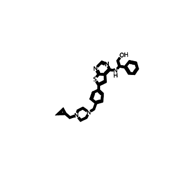 OCC(Nc1ncnc2sc(-c3ccc(CN4CCN(CC5CC5)CC4)cc3)cc12)c1ccccc1